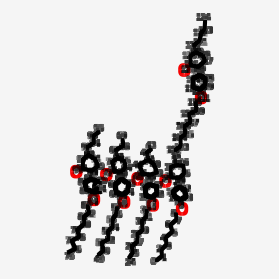 CCCCCCCCCOc1ccc([C@H]2CC[C@H](C)CC2=O)cc1.CCCCCCCCCOc1ccc([C@H]2CC[C@H](CC)CC2=O)cc1.CCCCCCCCCOc1ccc([C@H]2CC[C@H](CCC)CC2=O)cc1.CCCCCCCCCOc1ccc([C@H]2CC[C@H](CCCC)CC2=O)cc1.CCCCCCCCCOc1ccc([C@H]2CC[C@H](CCCCC)CC2=O)cc1